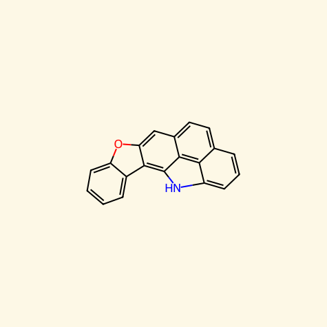 c1cc2ccc3cc4oc5ccccc5c4c4[nH]c(c1)c2c34